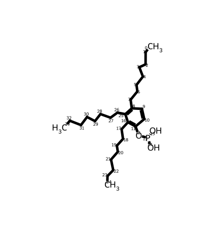 CCCCCCCCc1ccc(OP(O)O)c(CCCCCCCC)c1CCCCCCCC